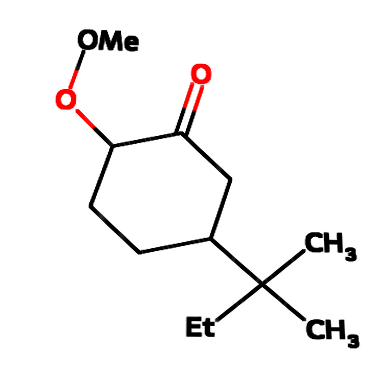 CCC(C)(C)C1CCC(OOC)C(=O)C1